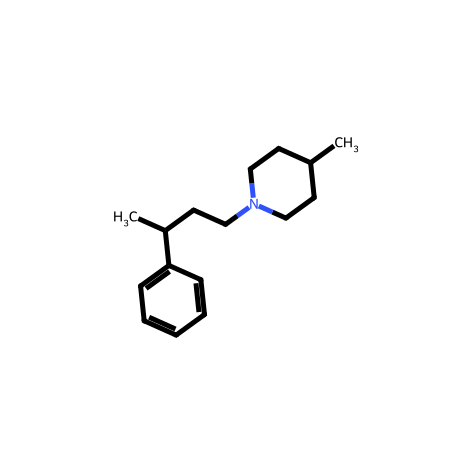 CC1CCN(CCC(C)c2ccccc2)CC1